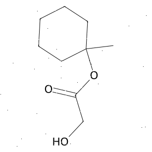 CC1(OC(=O)CO)CCCCC1